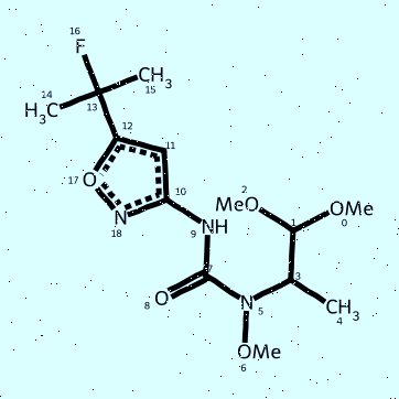 COC(OC)C(C)N(OC)C(=O)Nc1cc(C(C)(C)F)on1